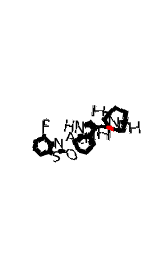 CC(=O)N[C@H]1C[C@H]2CC[C@@H](C1)N2Cc1c[nH]c2cc(Oc3nc4c(F)cccc4s3)ccc12